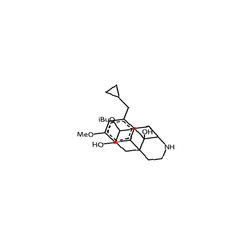 COc1cc(CC2CC2)c2c(c1)C13CCNC(C2)C1(O)CC(OCC(C)C)C(O)C3